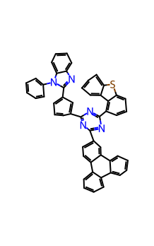 c1ccc(-n2c(-c3cccc(-c4nc(-c5ccc6c7ccccc7c7ccccc7c6c5)nc(-c5cccc6sc7ccccc7c56)n4)c3)nc3ccccc32)cc1